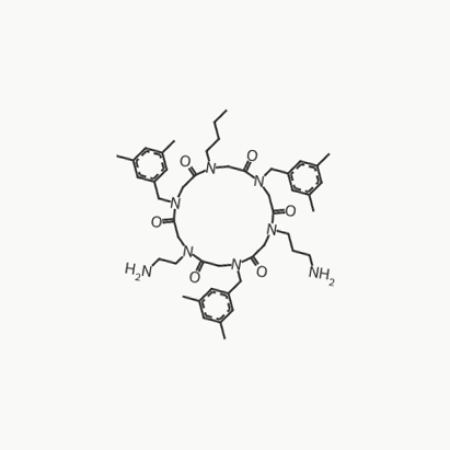 CCCCN1CC(=O)N(Cc2cc(C)cc(C)c2)CC(=O)N(CCCN)CC(=O)N(Cc2cc(C)cc(C)c2)CC(=O)N(CCN)CC(=O)N(Cc2cc(C)cc(C)c2)CC1=O